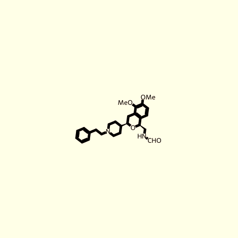 COc1ccc2c(c1OC)C[C@H](C1CCN(CCc3ccccc3)CC1)O[C@@H]2CNC=O